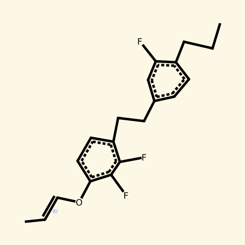 C/C=C/Oc1ccc(CCc2ccc(CCC)c(F)c2)c(F)c1F